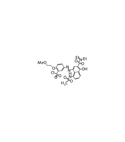 CCN(CC)S(=O)(=O)c1cc(/N=N/c2ccc(OCCOC)c(S(=O)(=O)Cl)c2)c2c(NS(C)(=O)=O)cccc2c1O